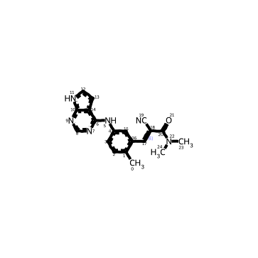 Cc1ccc(Nc2ncnc3[nH]ccc23)cc1/C=C(\C#N)C(=O)N(C)C